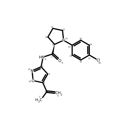 C=C(C)c1cc(NC(=O)[C@H]2CCCN2c2ccc(Cl)cc2)no1